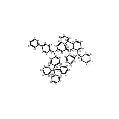 c1ccc(-c2ccc(N(c3ccc4c(c3)-c3ccccc3C4(c3ccccc3)c3ccccc3)c3cc4c5c(cccc5c3)-c3cccc(N(c5ccccc5)c5ccccc5)c3O4)cc2)cc1